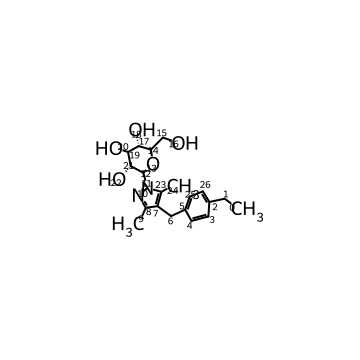 CCc1ccc(Cc2c(C)nn(C3OC(CO)[C@@H](O)C(O)[C@H]3O)c2C)cc1